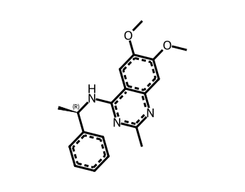 COc1cc2nc(C)nc(N[C@H](C)c3ccccc3)c2cc1OC